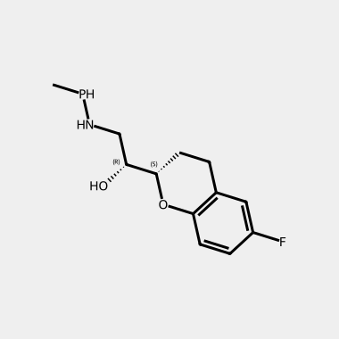 CPNC[C@@H](O)[C@@H]1CCc2cc(F)ccc2O1